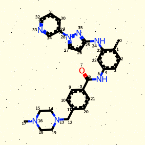 Cc1ccc(NC(=O)c2ccc(CN3CCN(C)CC3)cc2)cc1Nc1ccn(-c2cccnc2)n1